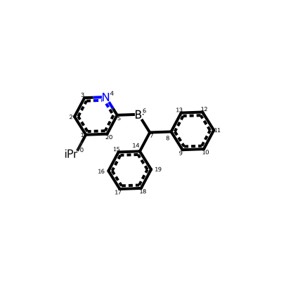 CC(C)c1ccnc([B]C(c2ccccc2)c2ccccc2)c1